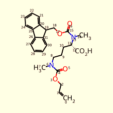 C=CCOC(=O)N(C)CCC[C@@H](C(=O)O)N(C)C(=O)OCC1c2ccccc2-c2ccccc21